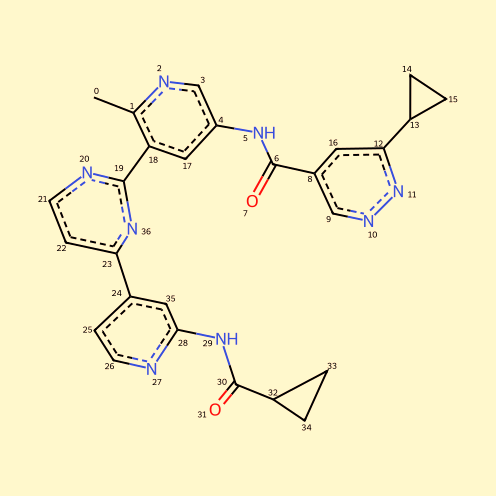 Cc1ncc(NC(=O)c2cnnc(C3CC3)c2)cc1-c1nccc(-c2ccnc(NC(=O)C3CC3)c2)n1